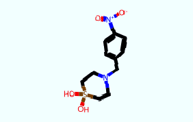 O=[N+]([O-])c1ccc(CN2CCS(O)(O)CC2)cc1